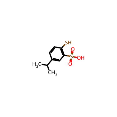 CC(C)c1ccc(S)c(S(=O)(=O)O)c1